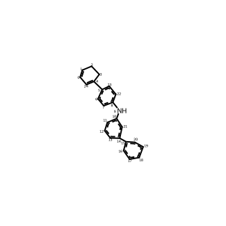 C1=CCCC(c2ccc(Nc3cccc(-c4ccccc4)c3)cc2)=C1